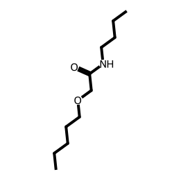 CCCCCOCC(=O)NCCCC